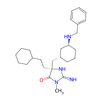 CN1C(=N)N[C@](CCC2CCCCC2)(C[C@H]2CCC[C@H](NCc3ccccc3)C2)C1=O